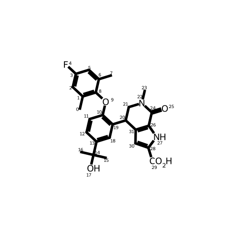 Cc1cc(F)cc(C)c1Oc1ccc(C(C)(C)O)cc1C1CN(C)C(=O)c2[nH]c(C(=O)O)cc21